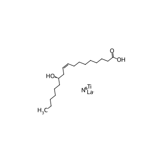 CCCCCC[C@@H](O)C/C=C\CCCCCCCC(=O)O.[La].[N]#[Ti]